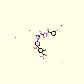 CN(C)C(=O)c1ccc(C2(O)CCC(N3CC[C@@H](NC(=O)CNC(=O)c4cccc(C(F)(F)F)c4)C3)CC2)cc1F